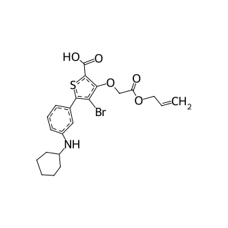 C=CCOC(=O)COc1c(C(=O)O)sc(-c2cccc(NC3CCCCC3)c2)c1Br